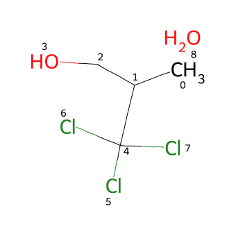 CC(CO)C(Cl)(Cl)Cl.O